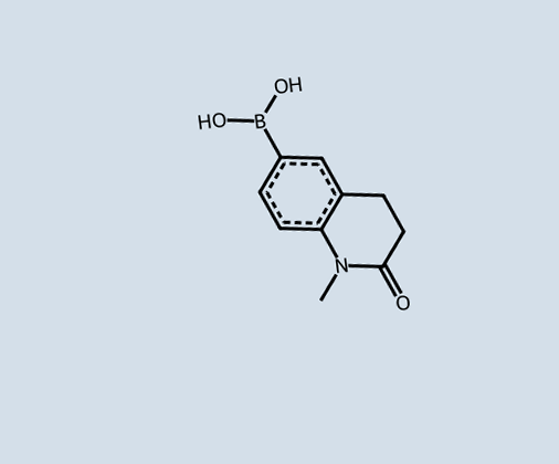 CN1C(=O)CCc2cc(B(O)O)ccc21